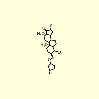 CCC1C(=NOC2CCNC2)CCC2(C)C1CCC1C3CC(F)C(=O)C3(C)CCC12